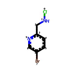 ClNCc1ccc(Br)cn1